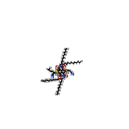 CCCCCCCCCCCCC(CCCCCCCCCC)Cn1c(=O)c2c3sc(=CC#N)sc3c3c(=O)n(CC(CCCCCCCCCC)CCCCCCCCCCCC)c(=O)c4c5sc(=C(C#N)/C=C/C(C)C)sc5c(c1=O)c2c34